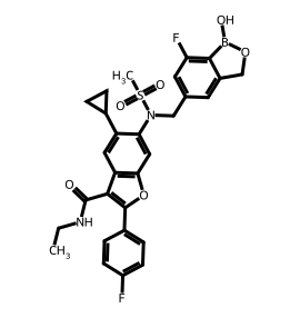 CCNC(=O)c1c(-c2ccc(F)cc2)oc2cc(N(Cc3cc(F)c4c(c3)COB4O)S(C)(=O)=O)c(C3CC3)cc12